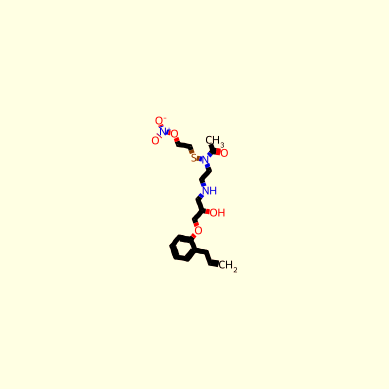 C=CCc1ccccc1OCC(O)CNCCN(SCCO[N+](=O)[O-])C(C)=O